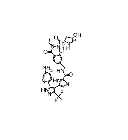 CCN(NC(=O)[C@@H]1C[C@@H](O)CN1)C(=O)c1ccc(CNC(=O)c2ncc(-c3c(C(F)(F)F)n[nH]c3-c3ccc(N)cn3)[nH]2)cc1Cl